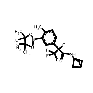 Cc1ccc(C(O)(C(=O)NC23CC(C2)C3)C(F)(F)F)cc1B1OC(C)(C)C(C)(C)O1